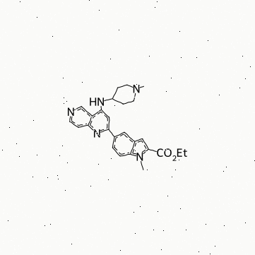 CCOC(=O)c1cc2cc(-c3cc(NC4CCN(C)CC4)c4cnccc4n3)ccc2n1C